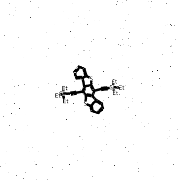 CC[Si](C#Cc1c2sc3ccccc3c2c(C#C[Si](CC)(CC)CC)c2sc3ccccc3c12)(CC)CC